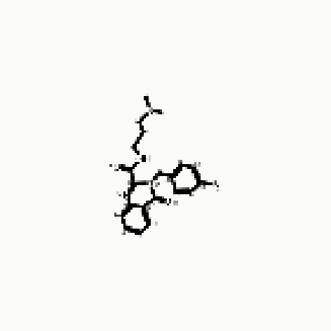 CN(C)CCCNC(=O)c1nc2ccccc2c(=O)n1Cc1ccc(Br)cc1